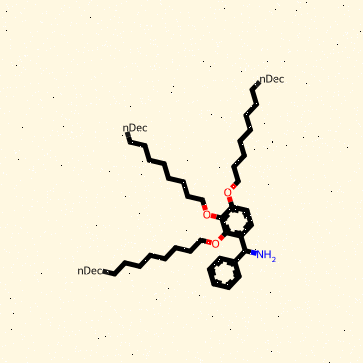 CCCCCCCCCCCCCCCCCCOc1ccc(C(N)c2ccccc2)c(OCCCCCCCCCCCCCCCCCC)c1OCCCCCCCCCCCCCCCCCC